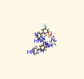 Fc1cc(OCCN2CCCC2)cc(-c2cncc3[nH]c(-c4n[nH]c5cnc(C6CCNCC6)cc45)nc23)c1